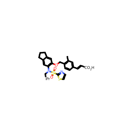 Cc1cc(/C=C/C(=O)O)ccc1COc1cc2c(cc1N(CC(C)C)S(=O)(=O)c1nccs1)CCC2